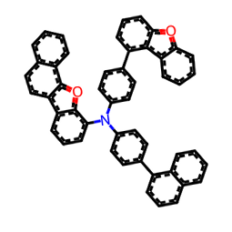 c1ccc2c(-c3ccc(N(c4ccc(-c5cccc6oc7ccccc7c56)cc4)c4cccc5c4oc4c6ccccc6ccc54)cc3)cccc2c1